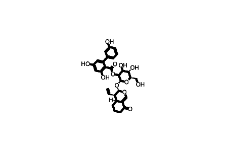 C=C[C@H]1[C@H](O[C@@H]2O[C@H](CO)[C@@H](O)C(O)C2OC(=O)c2c(O)cc(O)cc2-c2cccc(O)c2)OC=C2C(=O)CCC[C@H]21